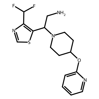 NCC(c1scnc1C(F)F)N1CCC(Oc2ccccn2)CC1